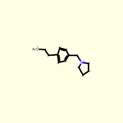 CC(=O)OCCc1ccc(CN2CCCC2)cc1